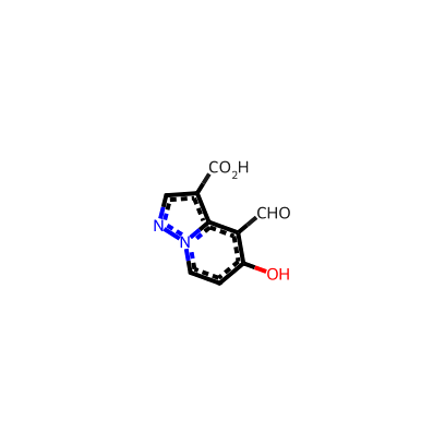 O=Cc1c(O)ccn2ncc(C(=O)O)c12